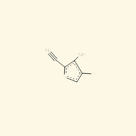 N#Cc1occ(Br)c1N